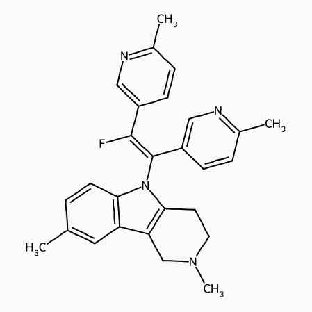 Cc1ccc2c(c1)c1c(n2C(=C(F)c2ccc(C)nc2)c2ccc(C)nc2)CCN(C)C1